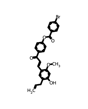 C=CCc1cc(C=CC(=O)c2ccc(OC(=O)c3ccc(Br)cc3)cc2)c(OC)cc1O